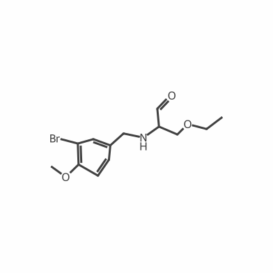 CCOCC(C=O)NCc1ccc(OC)c(Br)c1